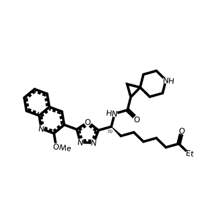 CCC(=O)CCCCC[C@H](NC(=O)C1CC12CCNCC2)c1nnc(-c2cc3ccccc3nc2OC)o1